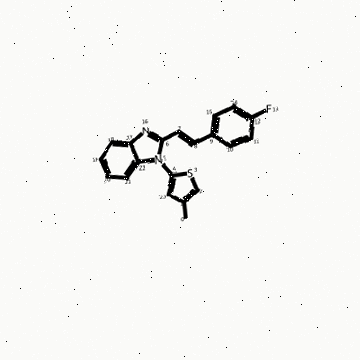 Cc1csc(-n2c(C=Cc3ccc(F)cc3)nc3ccccc32)c1